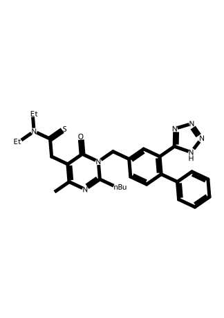 CCCCc1nc(C)c(CC(=S)N(CC)CC)c(=O)n1Cc1ccc(-c2ccccc2)c(-c2nnn[nH]2)c1